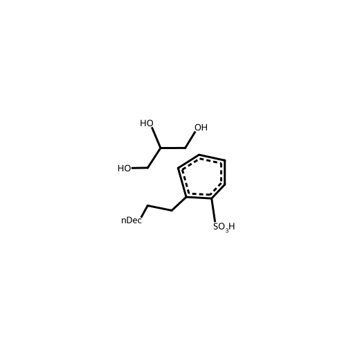 CCCCCCCCCCCCc1ccccc1S(=O)(=O)O.OCC(O)CO